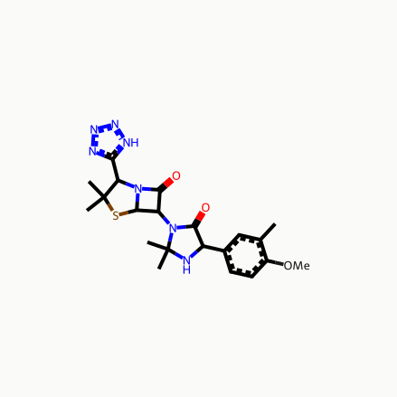 COc1ccc(C2NC(C)(C)N(C3C(=O)N4C3SC(C)(C)C4c3nnn[nH]3)C2=O)cc1C